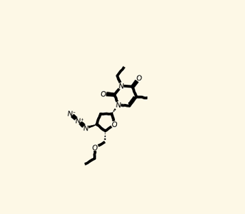 CCOC[C@H]1O[C@@H](n2cc(C)c(=O)n(CC)c2=O)C[C@@H]1N=[N+]=[N-]